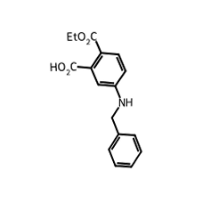 CCOC(=O)c1ccc(NCc2ccccc2)cc1C(=O)O